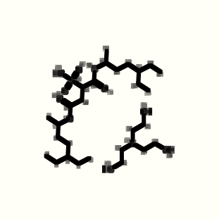 CCC(CC)CCC(C)OC(=O)CC(C(=O)OC(C)CCC(CC)CC)S(=O)(=O)O.OCCN(CCO)CCO